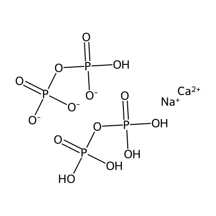 O=P(O)(O)OP(=O)(O)O.O=P([O-])([O-])OP(=O)([O-])O.[Ca+2].[Na+]